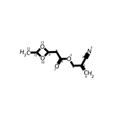 C=C(C#N)COC(=O)CC1OC(C)O1